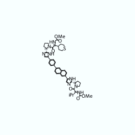 COC(=O)N[C@H](C(=O)N1CCC[C@H]1c1ncc(-c2ccc3cc(-c4ccc(-c5cnc([C@@H]6CCCN6C(=O)[C@@H](NC(=O)OC)C6CCSCC6)[nH]5)cc4)ccc3c2)[nH]1)C(C)C